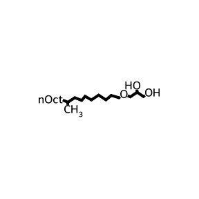 CCCCCCCCC(C)CCCCCCCCOCC(O)CO